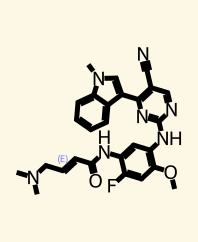 COc1cc(F)c(NC(=O)/C=C/CN(C)C)cc1Nc1ncc(C#N)c(-c2cn(C)c3ccccc23)n1